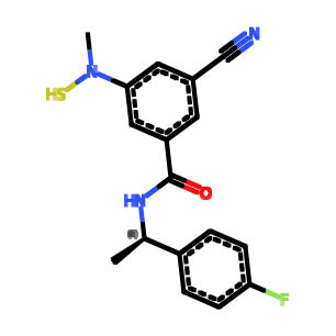 C[C@@H](NC(=O)c1cc(C#N)cc(N(C)S)c1)c1ccc(F)cc1